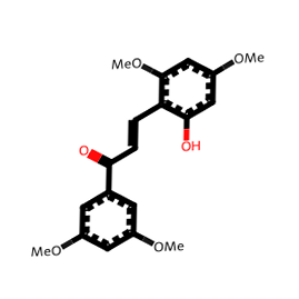 COc1cc(OC)cc(C(=O)C=Cc2c(O)cc(OC)cc2OC)c1